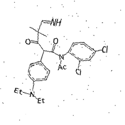 CCN(CC)c1ccc(C(C(=O)N(C(C)=O)c2ccc(Cl)cc2Cl)C(=O)C(C)(C)C=N)cc1